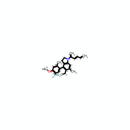 C=C/C=C/C(=C)N1CCc2c1cc(C)c(CC(=O)O)c2-c1cc(F)c(OCCCC)cc1C